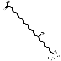 CCCCCCC(O)CCCCCCCCCCC(=O)O.[CaH2].[LiH]